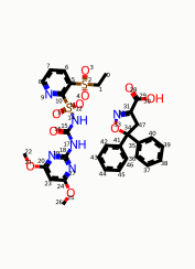 CCS(=O)(=O)c1cccnc1S(=O)(=O)NC(=O)Nc1nc(OC)cc(OC)n1.O=C(O)C1=NOC(c2ccccc2)(c2ccccc2)C1